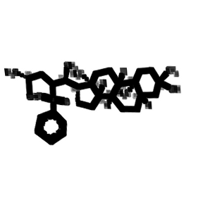 C[C@H](C(C[C@@H](C)O)S(=O)(=O)c1ccccc1)[C@H]1CC[C@H]2[C@@H]3CC[C@H]4C[C@](O)(C(F)(F)F)CC[C@]4(C)[C@H]3CC[C@]12C